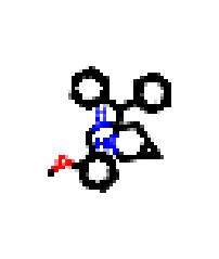 COc1ccccc1CNC1(C(c2ccccc2)c2ccccc2)CC2CC2CN1